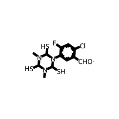 CN1C(S)N(C)C(S)N(c2cc([C]=O)c(Cl)cc2F)C1S